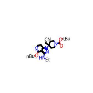 CCCCOc1nccc2c1c(NCC)nn2C1(CC#N)CCN(C(=O)OC(C)(C)C)CC1